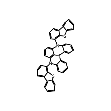 c1ccc2c(c1)B1c3ccccc3N(c3cccc4c3sc3ccccc34)c3cccc(c31)N2c1cccc2c1sc1ccccc12